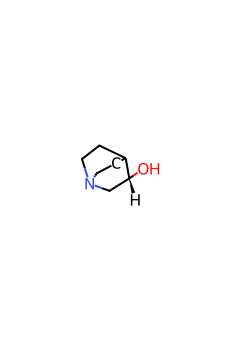 O[C@@H]1CN2CCC1CC2